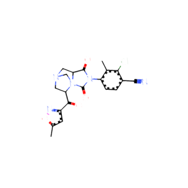 Cc1cc(C(=O)C2CN3CC4C(=O)N(c5ccc(C#N)c(Cl)c5C)C(=O)[N+]24C3)no1